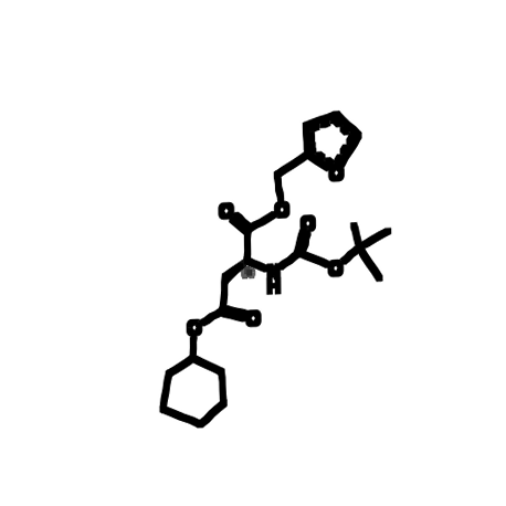 CC(C)(C)OC(=O)N[C@@H](CC(=O)OC1CCCCC1)C(=O)OCc1ccco1